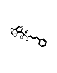 O=S(=O)(NCC=Cc1ccccc1)c1scc2c1OCO2